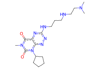 CN(C)CCNCCCNc1nnc2c(n1)c(=O)n(C)c(=O)n2C1CCCC1